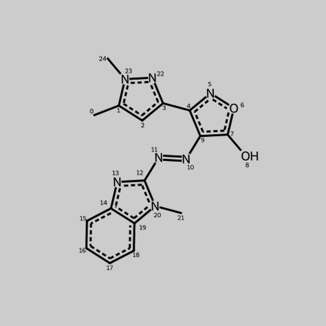 Cc1cc(-c2noc(O)c2N=Nc2nc3ccccc3n2C)nn1C